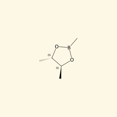 CB1O[C@@H](C)[C@H](C)O1